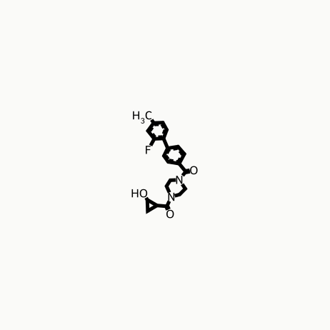 Cc1ccc(-c2ccc(C(=O)N3CCN(C(=O)C4CC4O)CC3)cc2)c(F)c1